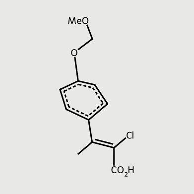 COCOc1ccc(C(C)=C(Cl)C(=O)O)cc1